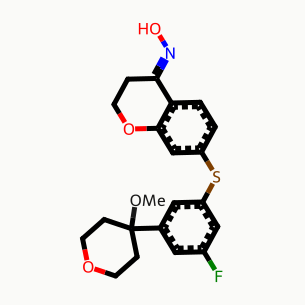 COC1(c2cc(F)cc(Sc3ccc4c(c3)OCCC4=NO)c2)CCOCC1